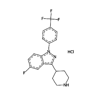 Cl.Fc1ccc2c(c1)c(C1CCNCC1)nn2-c1ccc(C(F)(F)F)cc1